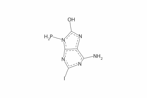 Nc1nc(I)nc2c1nc(O)n2P